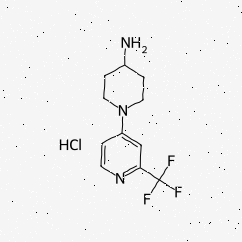 Cl.NC1CCN(c2ccnc(C(F)(F)F)c2)CC1